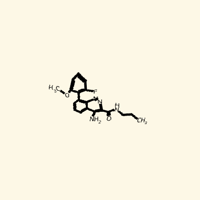 CCCNC(=O)c1nnc2c(-c3c(F)cccc3OC)cccc2c1N